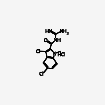 Cl.Cn1c(C(=O)NC(=N)N)c(Cl)c2cc(Cl)ccc21